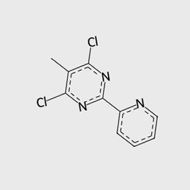 Cc1c(Cl)nc(-c2ccccn2)nc1Cl